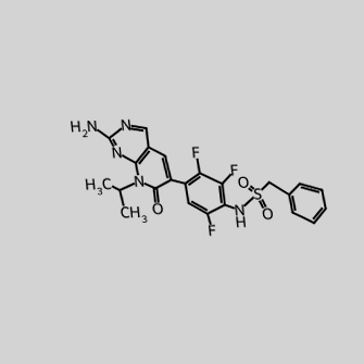 CC(C)n1c(=O)c(-c2cc(F)c(NS(=O)(=O)Cc3ccccc3)c(F)c2F)cc2cnc(N)nc21